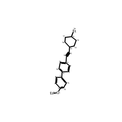 CCOc1ccc(-c2ccc(C#CC3CCC(CC)CC3)cc2)cc1